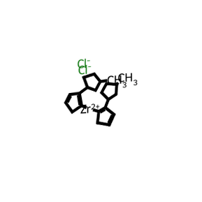 CC1CCC(C2=[C]([Zr+2][C]3=C(C4CCC(C)C4)C=CC3)CC=C2)C1.[Cl-].[Cl-]